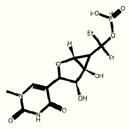 CCC(CC)(O[PH](=O)O)C1[C@H]2OC(c3cn(C)c(=O)[nH]c3=O)[C@H](O)[C@@]12O